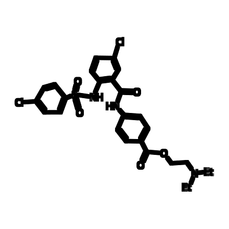 CCN(CC)CCOC(=O)c1ccc(NC(=O)c2cc(Cl)ccc2NS(=O)(=O)c2ccc(Cl)cc2)cc1